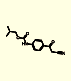 CC(C)COC(=O)Nc1ccc(C(=O)CC#N)cc1